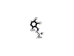 CC(C)(C)[S@@+]([O-])/N=C/c1c(O)ccc(Cl)c1Cl